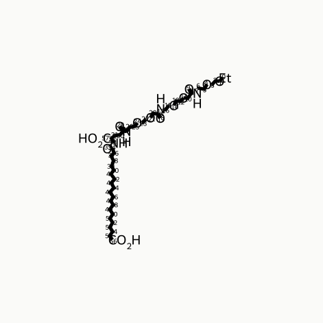 CCOCCOCCNC(=O)COCCOCCNC(=O)COCCOCCNC(=O)CC[C@H](NC(=O)CCCCCCCCCCCCCCCCCCCCC(=O)O)C(=O)O